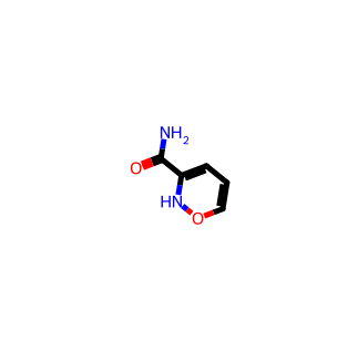 NC(=O)C1=CC=CON1